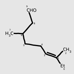 CCC(C)=CCCC(C)CC=O